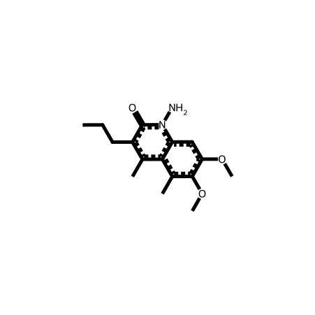 CCCc1c(C)c2c(C)c(OC)c(OC)cc2n(N)c1=O